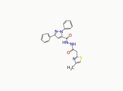 Cc1csc(CC(=O)NNC(=O)c2cc(-c3ccccc3)nn2-c2ccccc2)n1